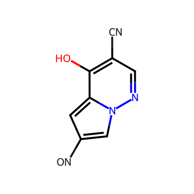 N#Cc1cnn2cc(N=O)cc2c1O